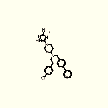 Nc1n[nH]c(N2CCC(N(CCc3ccc(Cl)cc3)Cc3ccc(-c4ccccc4)cc3)CC2)n1